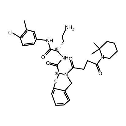 Cc1cc(NC(=O)[C@H](CCN)NC(=O)[C@@H]2Cc3ccccc3CN2C(=O)CCC(=O)N2CCCCC2(C)C)ccc1Cl